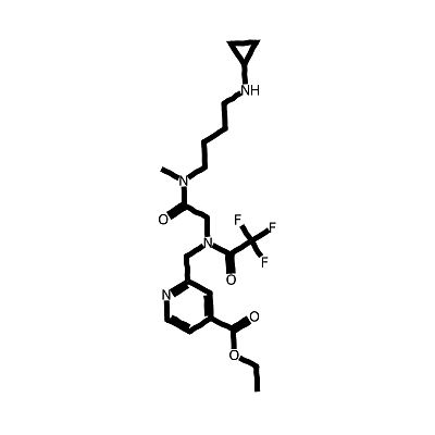 CCOC(=O)c1ccnc(CN(CC(=O)N(C)CCCCNC2CC2)C(=O)C(F)(F)F)c1